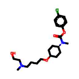 CN(CCO)CCCCO[C@H]1CC[C@H](N(C)C(=O)Oc2ccc(Cl)cc2)CC1